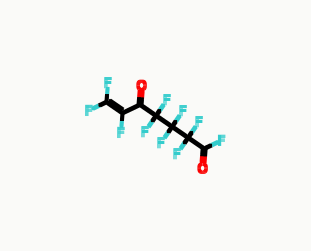 O=C(F)C(F)(F)C(F)(F)C(F)(F)C(=O)C(F)=C(F)F